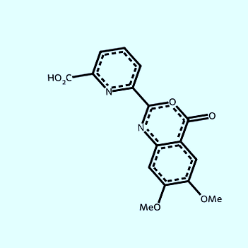 COc1cc2nc(-c3cccc(C(=O)O)n3)oc(=O)c2cc1OC